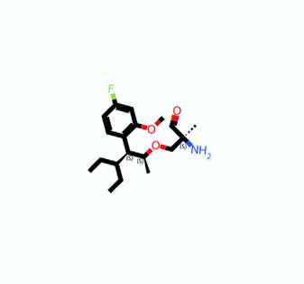 CCC(CC)[C@@H](c1ccc(F)cc1OC)[C@H](C)OC[C@](C)(N)C=O